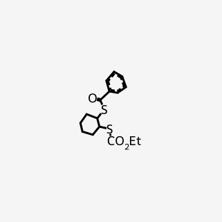 CCOC(=O)SC1CCCCC1SC(=O)c1ccccc1